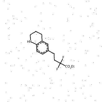 CCOC(=O)C(F)(F)CCc1ccc2c(c1)CCCN2